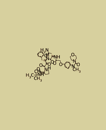 CN(C(=O)N1CCOCC1)c1ccc(OCC(=O)N[C@@H](CC(N)=O)C(=O)N[C@@H](Cc2ccccc2)[C@H](O)C(=O)N2CCC[C@H]2C(=O)NC(C)(C)C)cc1